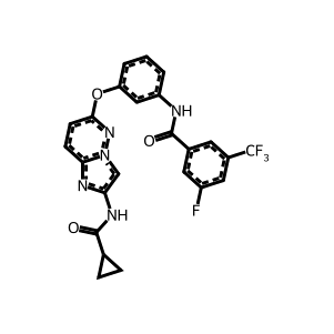 O=C(Nc1cccc(Oc2ccc3nc(NC(=O)C4CC4)cn3n2)c1)c1cc(F)cc(C(F)(F)F)c1